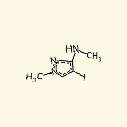 CNc1nn(C)cc1I